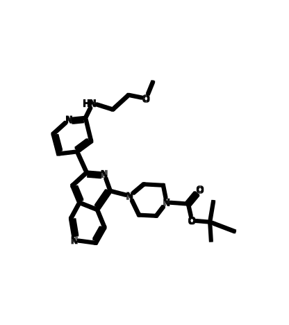 COCCNc1cc(-c2cc3cnccc3c(N3CCN(C(=O)OC(C)(C)C)CC3)n2)ccn1